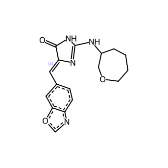 O=C1NC(NC2CCCCOC2)=N/C1=C\c1ccc2ncoc2c1